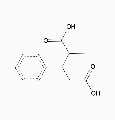 CC(C(=O)O)C(CC(=O)O)c1ccccc1